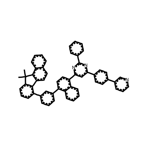 CC1(C)c2cccc(-c3cccc(-c4ccc(-c5cc(-c6ccc(-c7cccnc7)cc6)nc(-c6ccccc6)n5)c5ccccc45)c3)c2-c2ccc3ccccc3c21